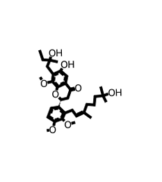 CCC(C)(O)Cc1c(O)cc2c(c1OC)O[C@@H](c1ccc(OC)c(OC)c1CC=C(C)CCCC(C)(C)O)CC2=O